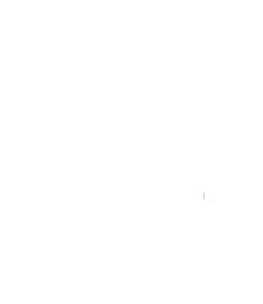 Cc1cc(-c2ccccc2)cc(C)c1I